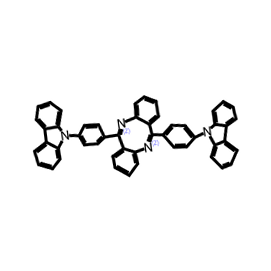 c1ccc2c(c1)/N=C(/c1ccc(-n3c4ccccc4c4ccccc43)cc1)c1ccccc1/N=C\2c1ccc(-n2c3ccccc3c3ccccc32)cc1